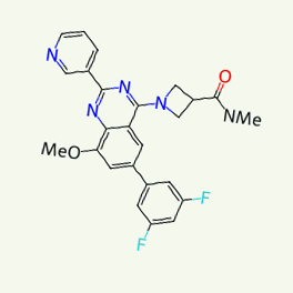 CNC(=O)C1CN(c2nc(-c3cccnc3)nc3c(OC)cc(-c4cc(F)cc(F)c4)cc23)C1